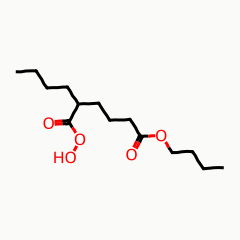 CCCCOC(=O)CCCC(CCCC)C(=O)OO